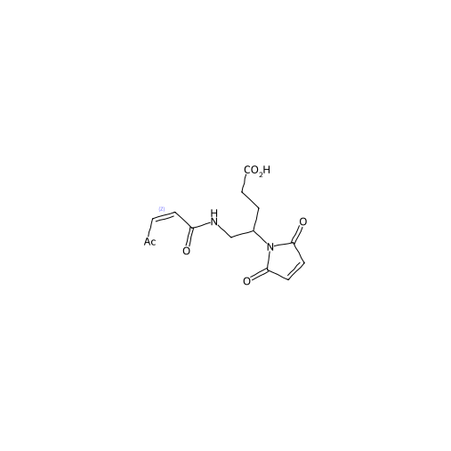 CC(=O)/C=C\C(=O)NCC(CCC(=O)O)N1C(=O)C=CC1=O